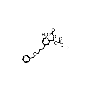 CC(=O)OC(OC(C)=O)c1cc(CCCOCc2ccccc2)ccn1